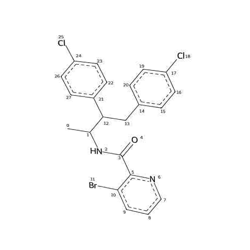 CC(NC(=O)c1ncccc1Br)C(Cc1ccc(Cl)cc1)c1ccc(Cl)cc1